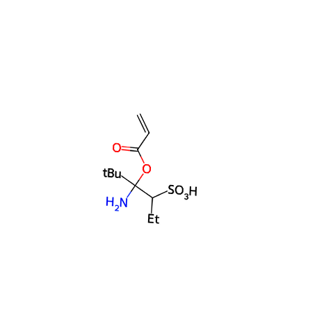 C=CC(=O)OC(N)(C(CC)S(=O)(=O)O)C(C)(C)C